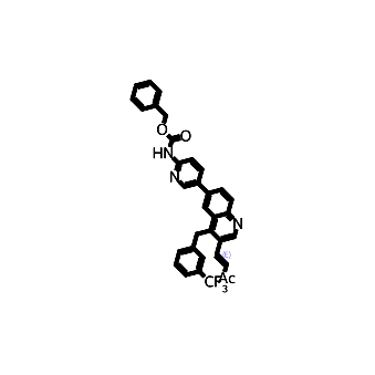 CC(=O)/C=C/c1cnc2ccc(-c3ccc(NC(=O)OCc4ccccc4)nc3)cc2c1Cc1cccc(C(F)(F)F)c1